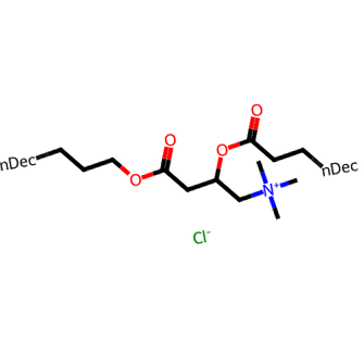 CCCCCCCCCCCCCOC(=O)CC(C[N+](C)(C)C)OC(=O)CCCCCCCCCCCC.[Cl-]